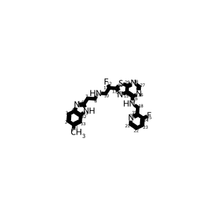 Cc1ccc2nc(CCNCC(F)c3nc4c(NCc5ncccc5F)ncnc4s3)[nH]c2c1